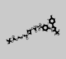 Cc1ccc(-c2cc(C(F)(F)F)nn2-c2ccc(S(=O)(=O)NC(=O)OC3CN([N+]([O-])=NOCOC(=O)OC(C)(C)C)C3)cc2)cc1